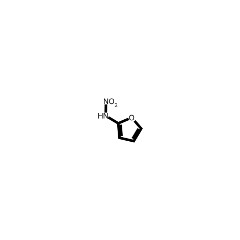 O=[N+]([O-])Nc1ccco1